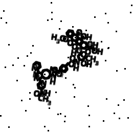 COc1cccc2c1C(=O)c1c(O)c3c(c(O)c1C2=O)C[C@@](O)(C(=O)CO)C[C@@H]3OC1CC(NC(=O)OCc2ccc(OC(=O)NC3CCC4C(c5ccc(NC(C)=O)cn5)=NN=C(c5ccccn5)C4CCC3N)cc2)C(O)C(C)O1